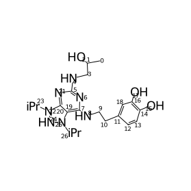 CC(O)CNc1nc(NCCc2ccc(O)c(O)c2)c2c(n1)N(C(C)C)NN2C(C)C